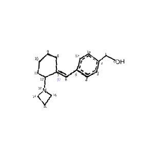 OCc1ccc(/C=C2\CCCCC2N2CCC2)cc1